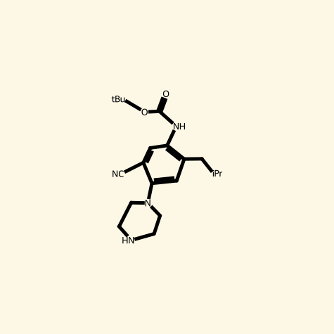 CC(C)Cc1cc(N2CCNCC2)c(C#N)cc1NC(=O)OC(C)(C)C